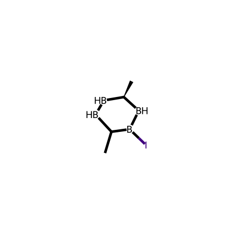 CC1BB[C@@H](C)BB1I